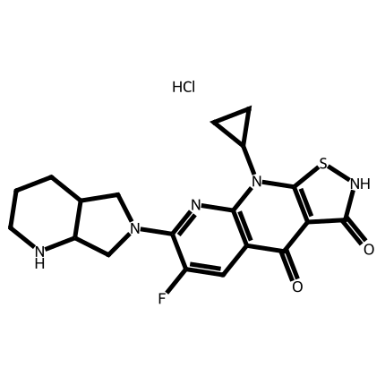 Cl.O=c1[nH]sc2c1c(=O)c1cc(F)c(N3CC4CCCNC4C3)nc1n2C1CC1